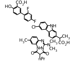 CC(C(=O)O)c1ccc2c(c1)[nH]c1ccc(Cl)cc12.CCCC1C(=O)N2C(N(C)C)=Nc3ccc(C)cc3N2C1=O.O=C(O)c1cc(-c2ccc(F)cc2F)ccc1O